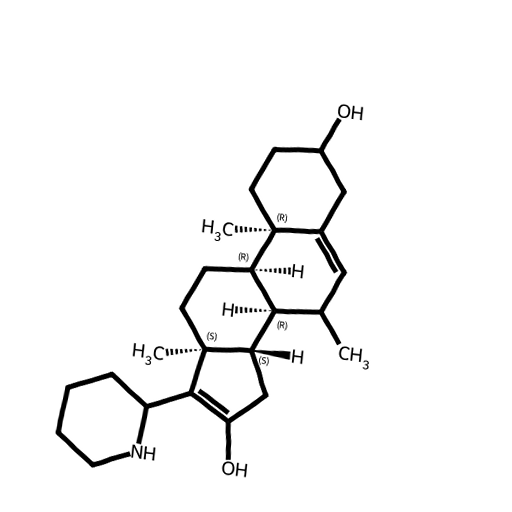 CC1C=C2CC(O)CC[C@]2(C)[C@@H]2CC[C@]3(C)C(C4CCCCN4)=C(O)C[C@H]3[C@H]12